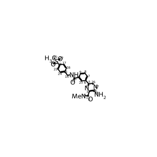 CNC(=O)c1nc(-c2cccc(C(=O)NCc3ccc(S(C)(=O)=O)cc3)c2)cnc1N